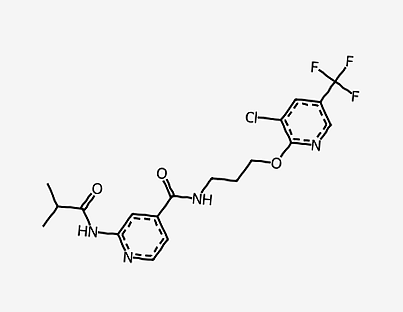 CC(C)C(=O)Nc1cc(C(=O)NCCCOc2ncc(C(F)(F)F)cc2Cl)ccn1